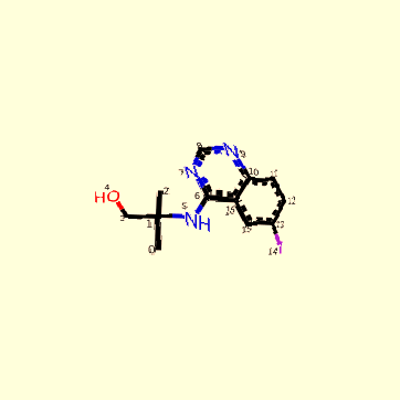 CC(C)(CO)Nc1ncnc2ccc(I)cc12